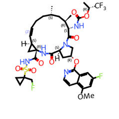 COc1cc(F)cc2c(O[C@@H]3C[C@H]4C(=O)N[C@]5(C(=O)NS(=O)(=O)C6(CF)CC6)C[C@H]5/C=C\CC[C@H](C)C[C@@H](C)[C@H](NC(=O)O[C@H](C)C(F)(F)F)C(=O)N4C3)nccc12